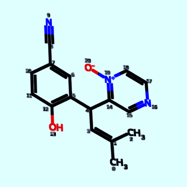 CC(C)=CC(c1cc(C#N)ccc1O)c1cncc[n+]1[O-]